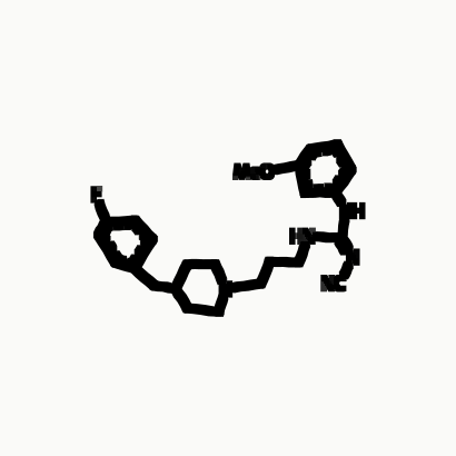 COc1cccc(NC(=NC#N)NCCCN2CCC(Cc3ccc(F)cc3)CC2)c1